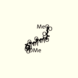 COC(=O)/C=C/C(=O)C(C)C(=O)SCCNC(=O)CCNC(=O)[C@@H]1OP(=O)(OC)OCC1(C)C